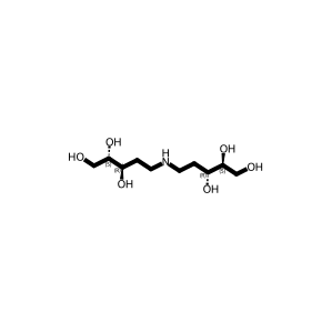 OC[C@H](O)[C@H](O)CCNCC[C@@H](O)[C@@H](O)CO